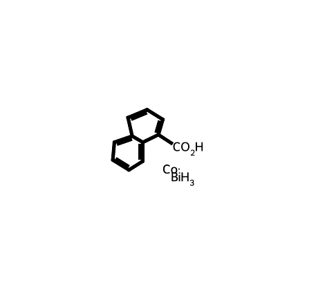 O=C(O)c1cccc2ccccc12.[BiH3].[Co]